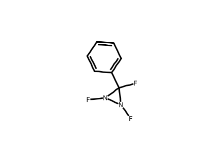 FN1N(F)C1(F)c1ccccc1